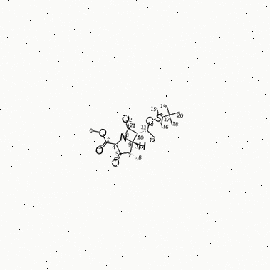 COC(=O)C1C(=O)[C@@H](C)[C@H]2[C@@H](C(C)O[Si](C)(C)C(C)(C)C)C(=O)N12